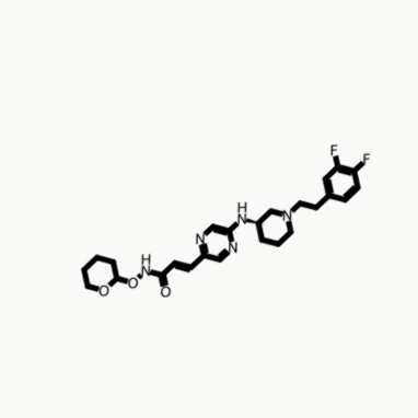 O=C(C=Cc1cnc(N[C@@H]2CCCN(CCc3ccc(F)c(F)c3)C2)cn1)NOC1CCCCO1